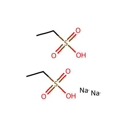 CCS(=O)(=O)O.CCS(=O)(=O)O.[Na].[Na]